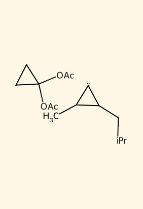 CC(=O)OC1(OC(C)=O)CC1.CC(C)CC1[C]C1C